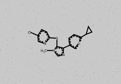 Cn1cnc(-c2ccc(C3CC3)cc2)c1Sc1ccc(Cl)cn1